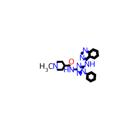 CN1CCC(C(=O)Nc2nc(Nc3ncnc4ccccc34)n(-c3ccccc3)n2)CC1